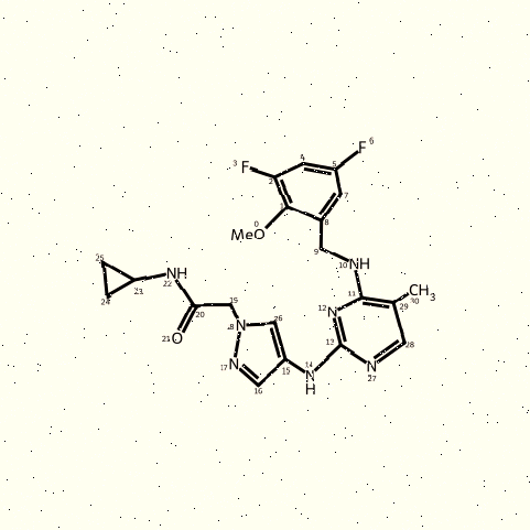 COc1c(F)cc(F)cc1CNc1nc(Nc2cnn(CC(=O)NC3CC3)c2)ncc1C